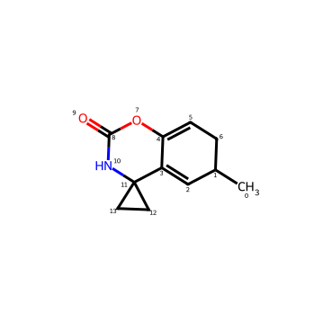 CC1C=C2C(=CC1)OC(=O)NC21CC1